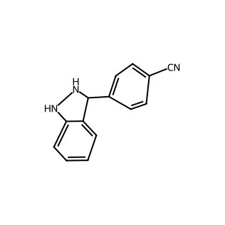 N#Cc1ccc(C2NNc3ccccc32)cc1